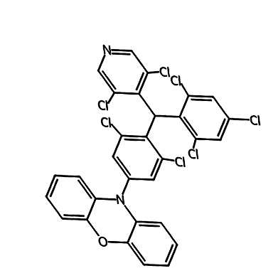 Clc1cc(Cl)c(C(c2c(Cl)cncc2Cl)c2c(Cl)cc(N3c4ccccc4Oc4ccccc43)cc2Cl)c(Cl)c1